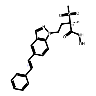 C[C@@](CCn1ncc2cc(/C=C/c3ccccc3)ccc21)(C(=O)NO)S(C)(=O)=O